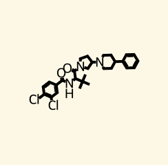 CC(C)(C)C(NC(=O)c1ccc(Cl)c(Cl)c1)C(=O)N1CCC(N2CCC(c3ccccc3)CC2)C1